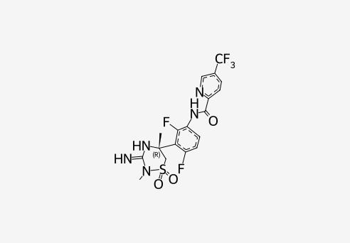 CN1C(=N)N[C@](C)(c2c(F)ccc(NC(=O)c3ccc(C(F)(F)F)cn3)c2F)CS1(=O)=O